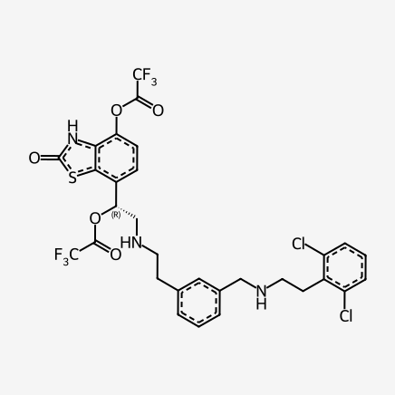 O=C(Oc1ccc([C@H](CNCCc2cccc(CNCCc3c(Cl)cccc3Cl)c2)OC(=O)C(F)(F)F)c2sc(=O)[nH]c12)C(F)(F)F